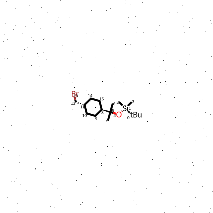 CC(C)(C)[Si](C)(C)OC(C)(C)[C@H]1CC[C@H](CBr)CC1